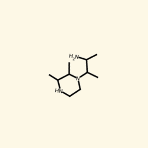 CC(N)C(C)N1CCNC(C)C1C